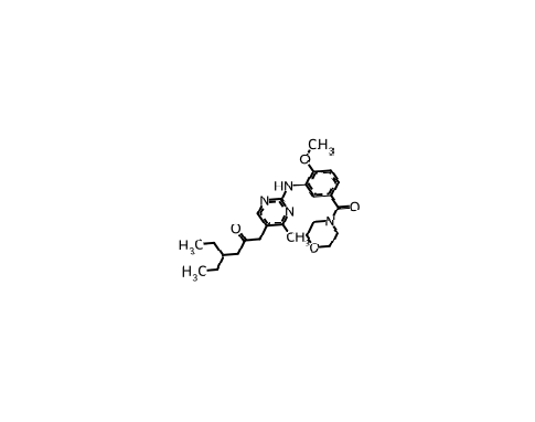 CCC(CC)CC(=O)Cc1cnc(Nc2cc(C(=O)N3CCOCC3)ccc2OC)nc1C